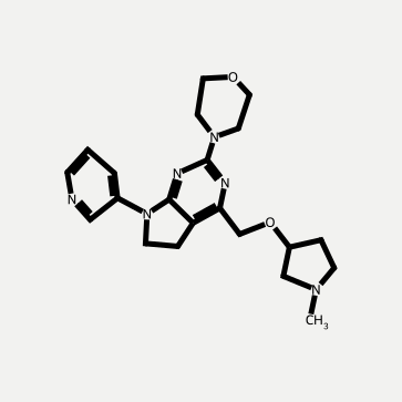 CN1CCC(OCc2nc(N3CCOCC3)nc3c2CCN3c2cccnc2)C1